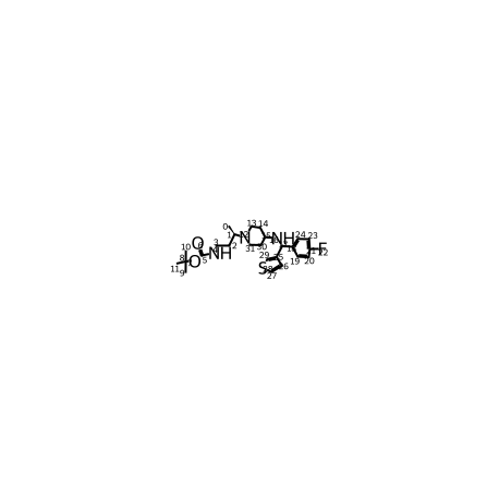 C[C@H](CCNC(=O)OC(C)(C)C)N1CCC(NC(c2ccc(F)cc2)c2ccsc2)CC1